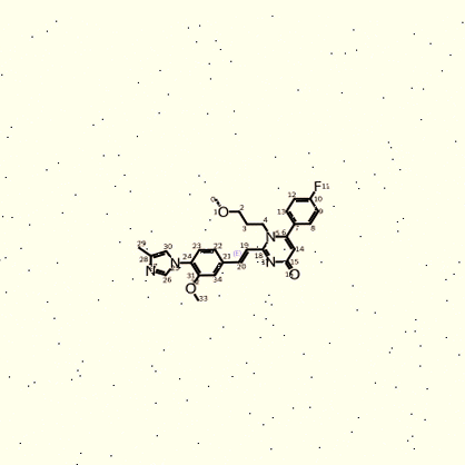 COCCCn1c(-c2ccc(F)cc2)cc(=O)nc1/C=C/c1ccc(-n2cnc(C)c2)c(OC)c1